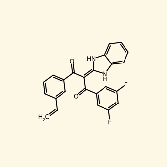 C=Cc1cccc(C(=O)C(C(=O)c2cc(F)cc(F)c2)=C2Nc3ccccc3N2)c1